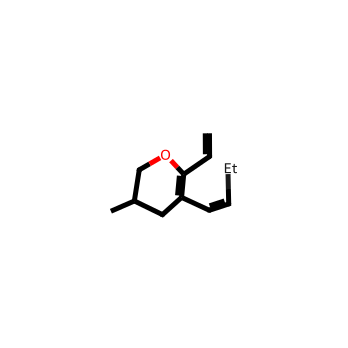 C=CC1=C(/C=C\CC)CC(C)CO1